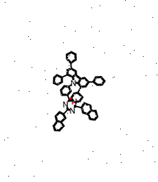 c1ccc(-c2cc(-c3ccccc3)c3c(c2)c2cc(-c4ccccc4)cc(-c4ccccc4)c2n3-c2cccc(-c3nc(-c4ccc5ccccc5c4)nc(-c4ccc5ccccc5c4)n3)c2)cc1